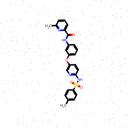 Cc1ccc(S(=O)(=O)Nc2ccc(Oc3cccc(NC(=O)c4cccc(C)n4)c3)cn2)cc1